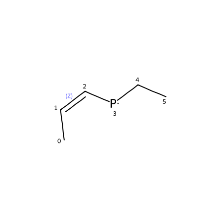 C/C=C\[P]CC